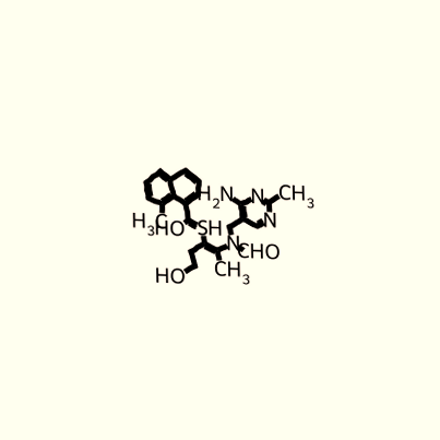 C/C(=C(CCO)/[SH]=C(\O)c1cccc2cccc(C)c12)N(C=O)Cc1cnc(C)nc1N